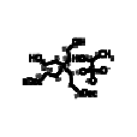 CC(O)S(=O)(=O)[O-].CCCCCCCCCCCC[N+](CCO)(CCO)CCCCCCCCCCCC